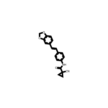 N#CC1(C(=O)Nc2ccc(/C=C/c3ccc4c(c3)OCO4)cc2)CC1